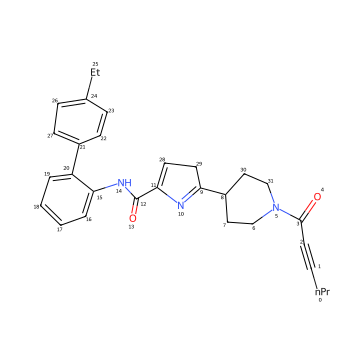 CCCC#CC(=O)N1CCC(C2=NC(C(=O)Nc3ccccc3-c3ccc(CC)cc3)=CC2)CC1